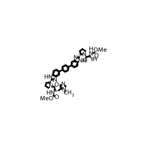 COC(=O)N[C@@H](Cc1cncn1C)C(=O)N1CCC[C@H]1c1nc2cc(-c3ccc(-c4ccc5[nH]c([C@@H]6CCCN6C(=O)[C@@H](NC(=O)OC)C(C)C)nc5c4)cc3)ccc2[nH]1